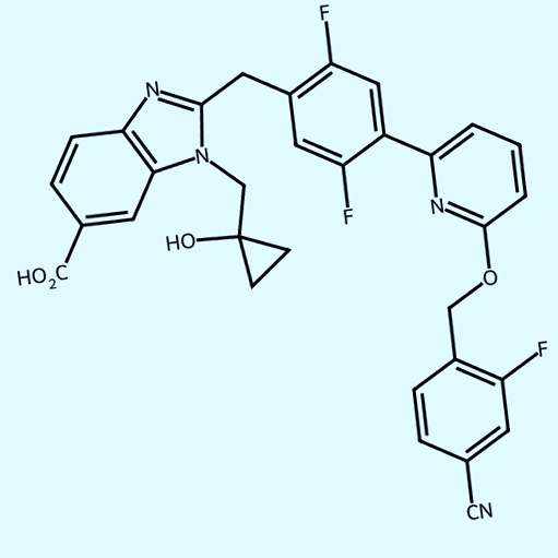 N#Cc1ccc(COc2cccc(-c3cc(F)c(Cc4nc5ccc(C(=O)O)cc5n4CC4(O)CC4)cc3F)n2)c(F)c1